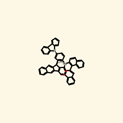 CC12c3cc4ccccc4cc3-c3cccc(c31)N(c1ccc3ccccc3c1-c1ccc3ccccc3c1)c1ccc(-n3c4ccccc4c4ccccc43)cc12